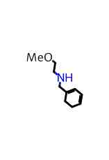 COCCNCC1=CC=CCC1